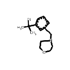 CCC(C)(C)c1cccc(CN2CCOCC2)c1